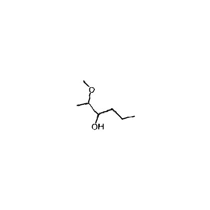 CCCC(O)C(C)OC